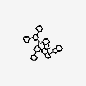 C1=C(c2cccc3ccc4c(sc5cccc(N(c6ccc(-c7ccccc7)cc6)c6cc(-c7ccccc7)cc(-c7ccccc7)c6)c54)c23)Cc2ccccc21